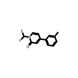 Cc1cccc(-c2ccn(C(F)F)c(=O)c2)c1